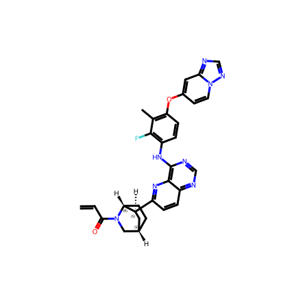 C=CC(=O)N1C[C@H]2CC[C@@H]1[C@@H](c1ccc3ncnc(Nc4ccc(Oc5ccn6ncnc6c5)c(C)c4F)c3n1)C2